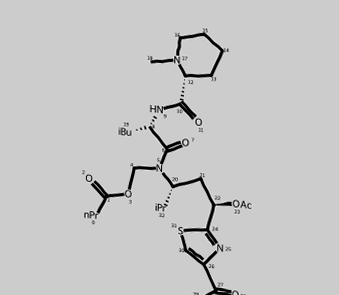 CCCC(=O)OCN(C(=O)[C@@H](NC(=O)[C@H]1CCCCN1C)[C@@H](C)CC)[C@H](C[C@@H](OC(C)=O)c1nc(C(=O)OC)cs1)C(C)C